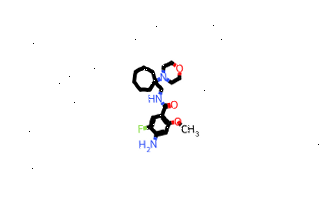 COc1cc(N)c(F)cc1C(=O)NCC1(N2CCOCC2)CCCCCC1